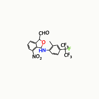 Cc1cc(C(F)(C(F)(F)F)C(F)(F)F)ccc1NC1OC(C=O)c2cccc([N+](=O)[O-])c21